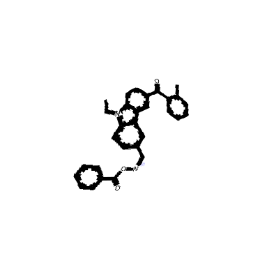 CCn1c2ccc(/C=N\OC(=O)c3ccccc3)cc2c2cc(C(=O)c3ccccc3C)ccc21